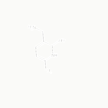 CCCC1NC(C)=CC=C1CN